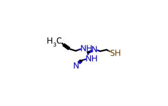 CC#CCN/C(=N/CCS)NC#N